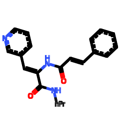 CCCNC(=O)/C(=C/c1cccnc1)NC(=O)/C=C/c1ccccc1